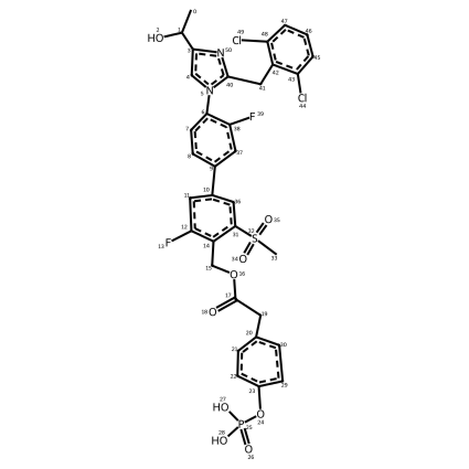 CC(O)c1cn(-c2ccc(-c3cc(F)c(COC(=O)Cc4ccc(OP(=O)(O)O)cc4)c(S(C)(=O)=O)c3)cc2F)c(Cc2c(Cl)cccc2Cl)n1